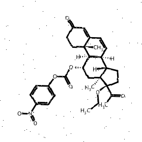 CCO[C@]1(C(C)=O)CC[C@H]2[C@@H]3C=CC4=CC(=O)CC[C@@]4(C)[C@@H]3[C@@H](OC(=O)Oc3ccc([N+](=O)[O-])cc3)C[C@@]21C